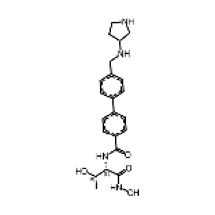 C[C@@H](O)[C@H](NC(=O)c1ccc(-c2ccc(CNC3CCNC3)cc2)cc1)C(=O)NO